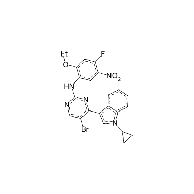 CCOc1cc(F)c([N+](=O)[O-])cc1Nc1ncc(Br)c(-c2cn(C3CC3)c3ccccc23)n1